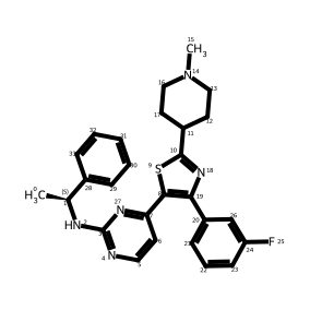 C[C@H](Nc1nccc(-c2sc(C3CCN(C)CC3)nc2-c2cccc(F)c2)n1)c1ccccc1